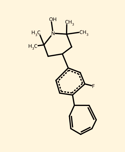 CC1(C)CC(c2ccc(C3C=CC=CC=C3)c(F)c2)CC(C)(C)N1O